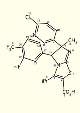 CC(C)C1=C(C(=O)O)SC2=NC(C)(c3ccc(Cl)nc3)C(c3ccc(C(F)(F)F)c(F)c3)N21